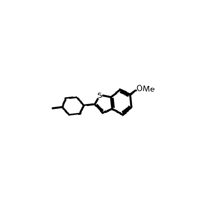 COc1ccc2cc(C3CCC(C)CC3)sc2c1